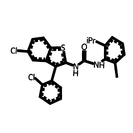 Cc1cccc(C(C)C)c1NC(=O)Nc1sc2ccc(Cl)cc2c1-c1ccccc1Cl